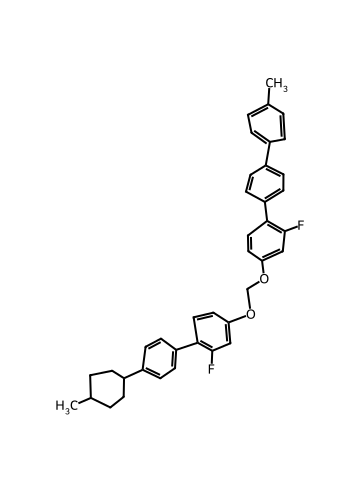 Cc1ccc(-c2ccc(-c3ccc(OCOc4ccc(-c5ccc(C6CCC(C)CC6)cc5)c(F)c4)cc3F)cc2)cc1